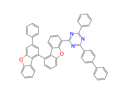 c1ccc(-c2ccc(-c3nc(-c4ccccc4)nc(-c4cccc5c4oc4cccc(-c6cc(-c7ccccc7)cc7oc8ccccc8c67)c45)n3)cc2)cc1